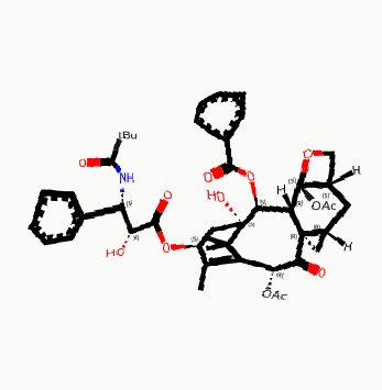 CC(=O)O[C@H]1C(=O)[C@]23C[C@H]2C[C@H]2CO[C@@]2(OC(C)=O)[C@H]3[C@H](OC(=O)c2ccccc2)[C@]2(O)C[C@H](OC(=O)[C@H](O)[C@@H](NC(=O)C(C)(C)C)c3ccccc3)C(C)=C1C2(C)C